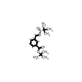 CC(C)(C)OC(=O)c1cccc(/C=N/[S@+]([O-])C(C)(C)C)c1